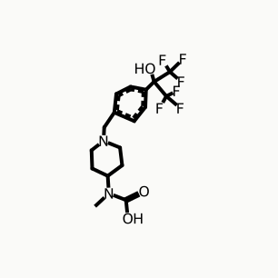 CN(C(=O)O)C1CCN(Cc2ccc(C(O)(C(F)(F)F)C(F)(F)F)cc2)CC1